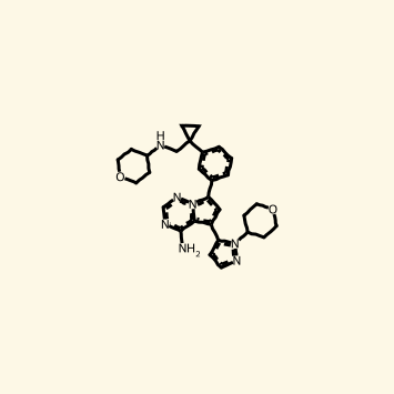 Nc1ncnn2c(-c3cccc(C4(CNC5CCOCC5)CC4)c3)cc(-c3ccnn3C3CCOCC3)c12